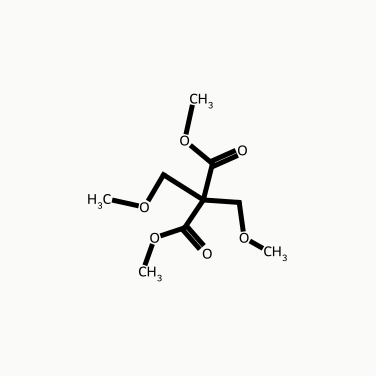 COCC(COC)(C(=O)OC)C(=O)OC